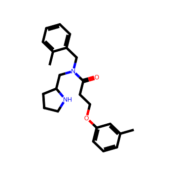 Cc1cccc(OCCC(=O)N(Cc2ccccc2C)CC2CCCN2)c1